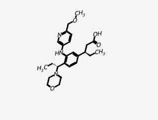 CC[C@H](CC(=O)O)c1ccc([C@@H](CC)N2CCOCC2)c(Nc2ccc(COC)nc2)c1